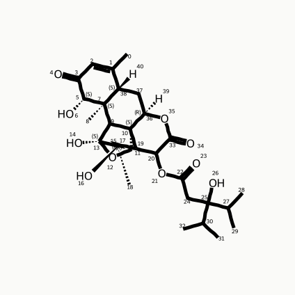 CC1=CC(=O)[C@@H](O)[C@]2(C)C3[C@]45CO[C@]3(O)[C@H](O)[C@H](C)C4C(OC(=O)CC(O)(C(C)C)C(C)C)C(=O)O[C@@H]5C[C@@H]12